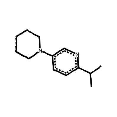 CC(C)c1ccc(N2CCCCC2)cn1